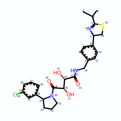 CC(C)C1=NC(c2ccc(CNC(=O)[C@H](O)[C@@H](O)C(=O)N3CCCC3c3cccc(Cl)c3)cc2)CS1